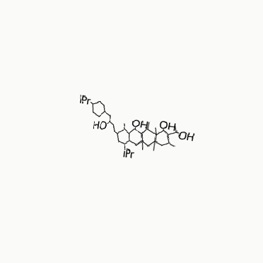 CC(C)C1CCC(CC(O)CCC2CC(C(C)C)C3CC4(C)CC5(C)CC(C)C(C(C)O)C(O)C5(C)C(C)C4C(O)C3C2C)CC1